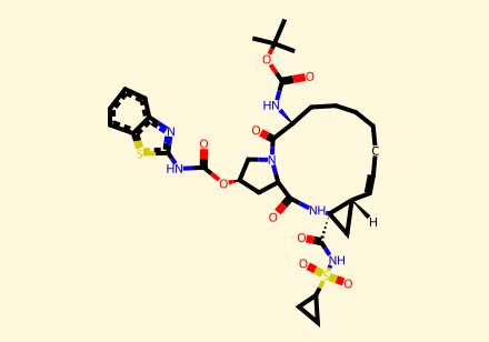 CC(C)(C)OC(=O)N[C@H]1CCCCC/C=C\[C@@H]2C[C@@]2(C(=O)NS(=O)(=O)C2CC2)NC(=O)C2C[C@@H](OC(=O)Nc3nc4ccccc4s3)CN2C1=O